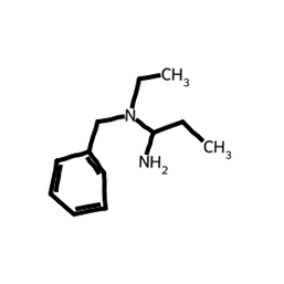 CCC(N)N(CC)Cc1ccccc1